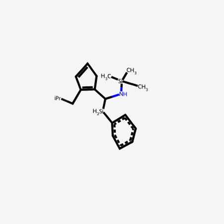 CC(C)CC1=C(C(N[Si](C)(C)C)[SiH2]c2ccccc2)CC=C1